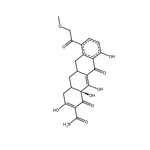 COCC(=O)c1ccc(O)c2c1CC1CC3CC(O)=C(C(N)=O)C(=O)[C@@]3(O)C(O)=C1C2=O